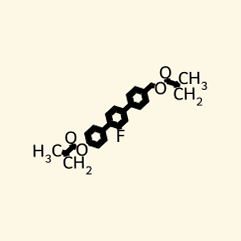 C=C(C)C(=O)OCc1ccc(-c2ccc(-c3ccc(OC(=O)C(=C)C)cc3)c(F)c2)cc1